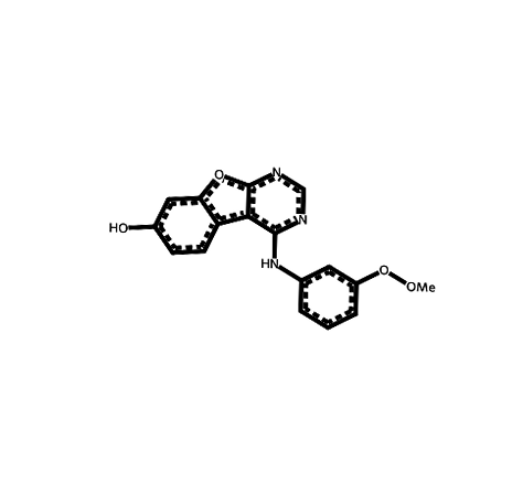 COOc1cccc(Nc2ncnc3oc4cc(O)ccc4c23)c1